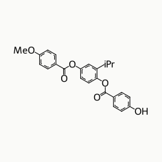 COc1ccc(C(=O)Oc2ccc(OC(=O)c3ccc(O)cc3)c(C(C)C)c2)cc1